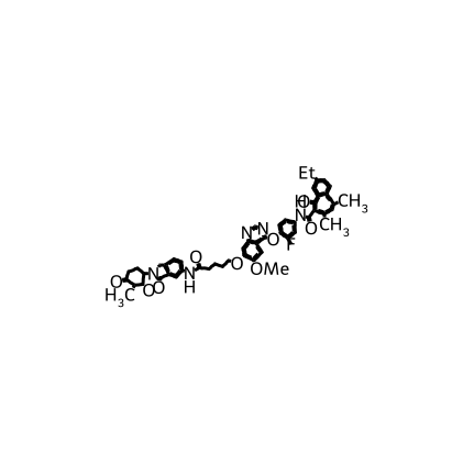 CCc1ccc2c(C)cc(C)c(C(=O)Nc3ccc(Oc4ncnc5cc(OCCCCC(=O)Nc6ccc7c(c6)C(=O)N(C6CCC(=O)C(C)C6=O)C7)c(OC)cc45)c(F)c3)c(=O)c2c1